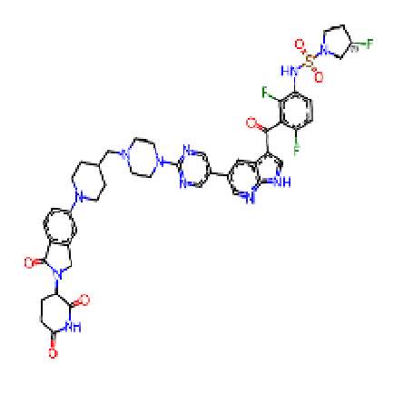 O=C1CCC(N2Cc3cc(N4CCC(CN5CCN(c6ncc(-c7cnc8[nH]cc(C(=O)c9c(F)ccc(NS(=O)(=O)N%10CC[C@@H](F)C%10)c9F)c8c7)cn6)CC5)CC4)ccc3C2=O)C(=O)N1